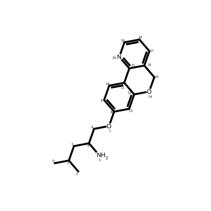 CC(C)CC(N)COc1ccc2c(c1)OCc1cccnc1-2